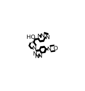 O[C@H](c1ccc2nccn2n1)[C@H]1CCCN(c2nnnc3cc(N4CCOCC4)ccc23)C1